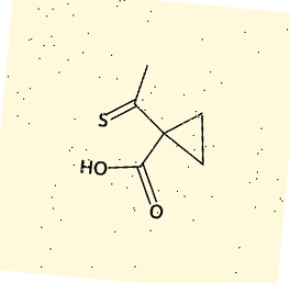 CC(=S)C1(C(=O)O)CC1